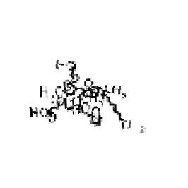 CCCCCCCCCC(C)COC(=O)C(C)(CC(CC(CC)C(=O)OCCC(=O)O)C(=O)OCCO)CC(C)(C)C(=O)OCc1ccco1